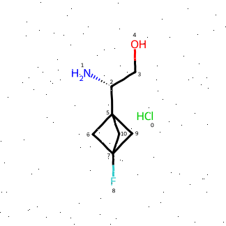 Cl.N[C@H](CO)C12CC(F)(C1)C2